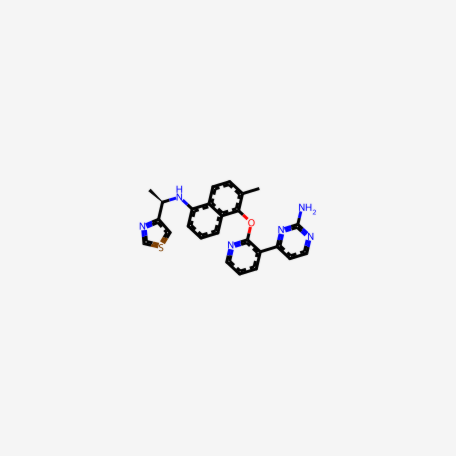 Cc1ccc2c(N[C@H](C)c3cscn3)cccc2c1Oc1ncccc1-c1ccnc(N)n1